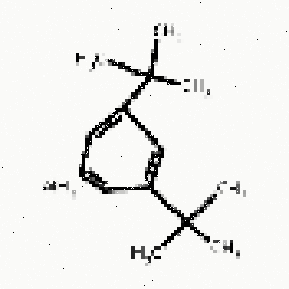 CC(C)(C)c1c[c]cc(C(C)(C)C)c1.[AlH3]